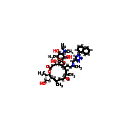 CC[C@H]1OC(=O)C[C@@H](O)[C@H](C)[C@@H](O[C@@H]2O[C@H](C)[C@@H](O)C(N(C)C)C2O)[C@@H](CCN(C)Cc2cn(-c3cccc4ccccc34)nn2)C[C@@H](C)C(=O)/C=C/C(C)=C/[C@@H]1CCO